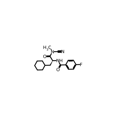 CN(C#N)C(=O)[C@H](CC1CCCCC1)NC(=O)c1ccc(F)cc1